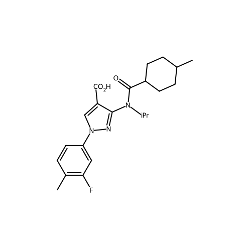 Cc1ccc(-n2cc(C(=O)O)c(N(C(=O)C3CCC(C)CC3)C(C)C)n2)cc1F